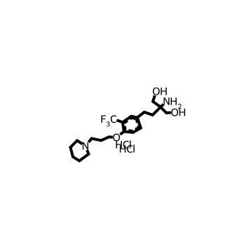 Cl.Cl.NC(CO)(CO)CCc1ccc(OCCCN2CCCCC2)c(C(F)(F)F)c1